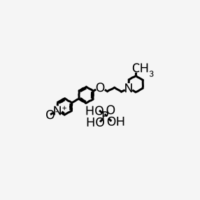 CC1CCCN(CCCOc2ccc(-c3cc[n+]([O-])cc3)cc2)C1.O=P(O)(O)O